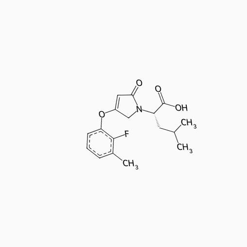 Cc1cccc(OC2=CC(=O)N([C@@H](CC(C)C)C(=O)O)C2)c1F